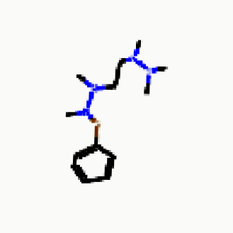 CN(C)N(C)CCN(C)N(C)Sc1ccccc1